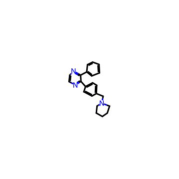 c1ccc(-c2nccnc2-c2ccc(CN3CCCCC3)cc2)cc1